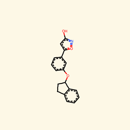 Oc1cc(-c2cccc(OC3CCc4ccccc43)c2)on1